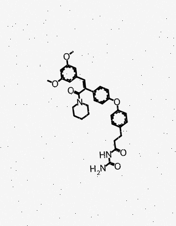 COc1cc(/C=C(\C(=O)N2CCCCC2)c2ccc(Oc3ccc(CCC(=O)NC(N)=O)cc3)cc2)cc(OC)c1